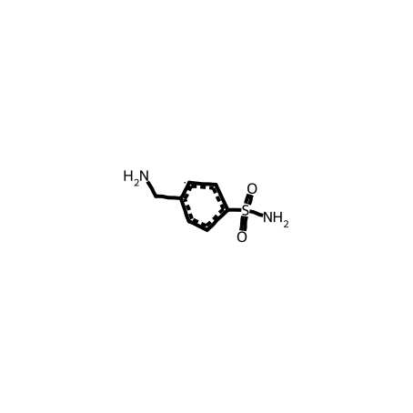 NCc1[c]cc(S(N)(=O)=O)cc1